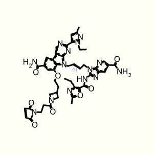 CCc1nc(C)oc1C(=O)Nc1nc2cc(C(N)=O)cnc2n1C/C=C/Cn1c2nc(-c3cc(C)nn3CC)ncc2c2cc(C(N)=O)cc(OCCC3CN(C(=O)CCN4C(=O)C=CC4=O)C3)c21